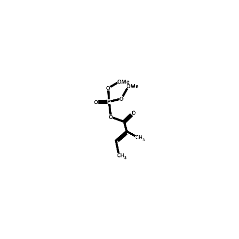 C/C=C(\C)C(=O)OP(=O)(OOC)OOC